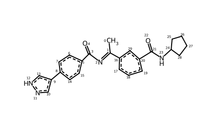 C/C(=N\C(=O)c1ccc(-c2cn[nH]c2)cc1)c1cccc(C(=O)NC2CCCC2)c1